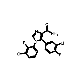 NC(=O)c1ncn(-c2cccc(Cl)c2F)c1-c1ccc(F)c(Cl)c1